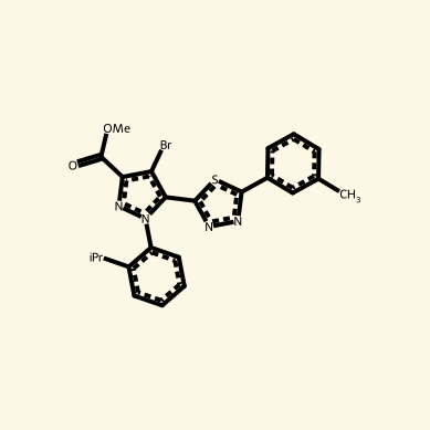 COC(=O)c1nn(-c2ccccc2C(C)C)c(-c2nnc(-c3cccc(C)c3)s2)c1Br